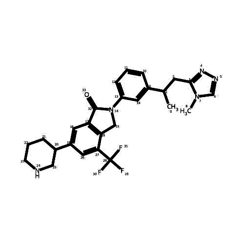 CC(Cc1nncn1C)c1cccc(N2Cc3c(cc(C4CCCNC4)cc3C(F)(F)F)C2=O)c1